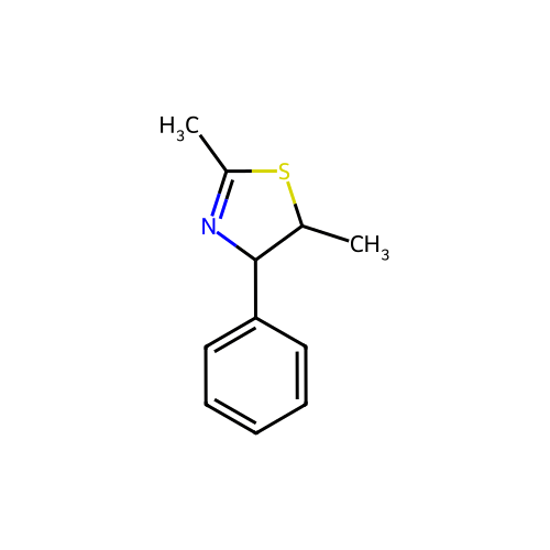 CC1=NC(c2ccccc2)C(C)S1